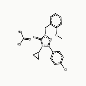 COc1ccccc1Cn1nc(-c2ccc(Cl)cc2)n(C2CC2)c1=O.O=C(O)O